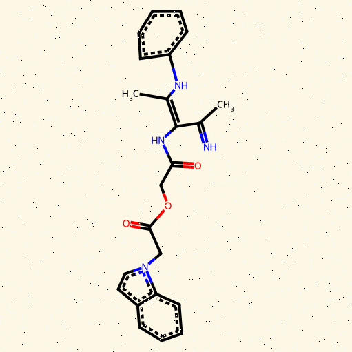 CC(=N)/C(NC(=O)COC(=O)Cn1ccc2ccccc21)=C(/C)Nc1ccccc1